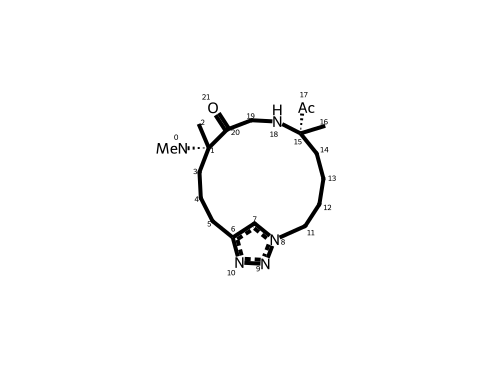 CN[C@@]1(C)CCCc2cn(nn2)CCCC[C@@](C)(C(C)=O)NCC1=O